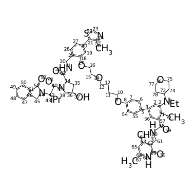 CCN(c1cc(-c2ccc(OCCCCOCCOc3cc(-c4scnc4C)ccc3CNC(=O)C3C[C@@H](O)CN3C(=O)C(C(C)C)N3Cc4ccccc4C3=O)cc2)cc(C(=O)NCc2c(C)cc(C)[nH]c2=O)c1C)C1CCOCC1